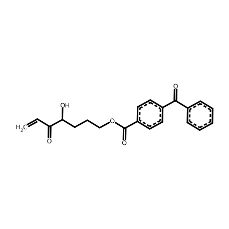 C=CC(=O)C(O)CCCOC(=O)c1ccc(C(=O)c2ccccc2)cc1